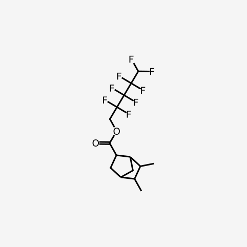 CC1C2CC(C(=O)OCC(F)(F)C(F)(F)C(F)(F)C(F)F)C(C2)C1C